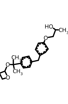 CC(O)COc1ccc(Cc2ccc(C(C)(C)OC3CCO3)cc2)cc1